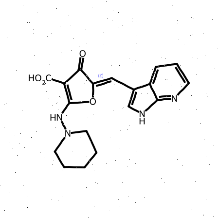 O=C(O)C1=C(NN2CCCCC2)O/C(=C\c2c[nH]c3ncccc23)C1=O